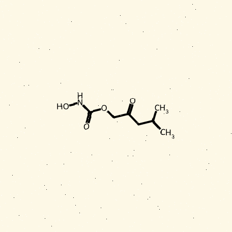 CC(C)CC(=O)COC(=O)NO